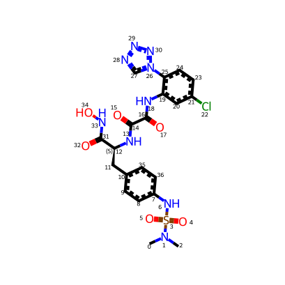 CN(C)S(=O)(=O)Nc1ccc(C[C@H](NC(=O)C(=O)Nc2cc(Cl)ccc2-n2cnnn2)C(=O)NO)cc1